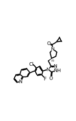 O=C(C1CC1)N1CC[C@@H](Cc2n[nH]c(=O)n2-c2cc(Cl)c(-c3ccc4cccnc4c3)cc2F)C1